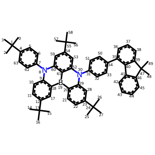 CC(C)(C)c1ccc(N2c3ccc(C(C)(C)C)cc3B3c4ccc(C(C)(C)C)cc4N(c4ccc(-c5cccc6c5-c5ccccc5C6(C)C)cc4)c4cc(C(C)(C)C)cc2c43)cc1